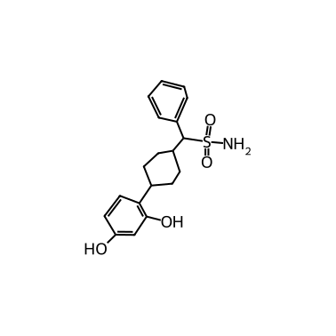 NS(=O)(=O)C(c1ccccc1)C1CCC(c2ccc(O)cc2O)CC1